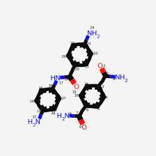 NC(=O)c1ccc(C(N)=O)cc1.Nc1ccc(NC(=O)c2ccc(N)cc2)cc1